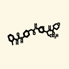 Cc1ccccc1NC(=O)Nc1ccc(CC(=O)Nc2ccc(C(CC(=O)O)NC(=O)C3CCOCC3)nc2)cc1